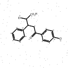 CCC(C(=O)O)C(CC(=O)c1ccc(Cl)cc1)c1ccccc1